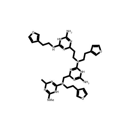 CNC1=NC(C)N=C(N(CCc2ccoc2)CC2N=C(N)NC(N(CCc3ccoc3)CCC3N=C(N)NC(NCCc4ccoc4)=N3)=N2)N1